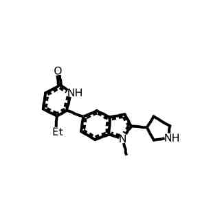 CCc1ccc(=O)[nH]c1-c1ccc2c(c1)cc(C1CCNC1)n2C